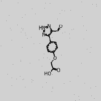 O=Cc1n[nH]nc1-c1ccc(OCC(=O)O)cc1